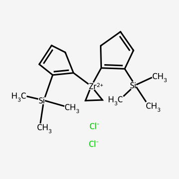 C[Si](C)(C)C1=[C]([Zr+2]2([C]3=C([Si](C)(C)C)C=CC3)[CH2][CH2]2)CC=C1.[Cl-].[Cl-]